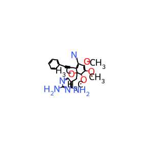 COC1=C(OC)C(OC)C(Cc2cnc(N)nc2N)(OC)C(C#Cc2ccccc2)=C1C#N